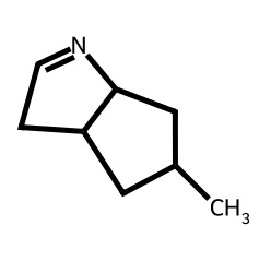 CC1CC2CC=NC2C1